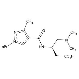 CCCn1cc(C(=O)N[C@H](CC(=O)O)CN(C)C)c(C)n1